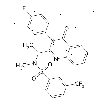 CC(c1nc2ccccc2c(=O)n1-c1ccc(F)cc1)N(C)S(=O)(=O)c1cccc(C(F)(F)F)c1